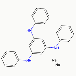 [Na].[Na].c1ccc(Nc2cc(Nc3ccccc3)cc(Nc3ccccc3)c2)cc1